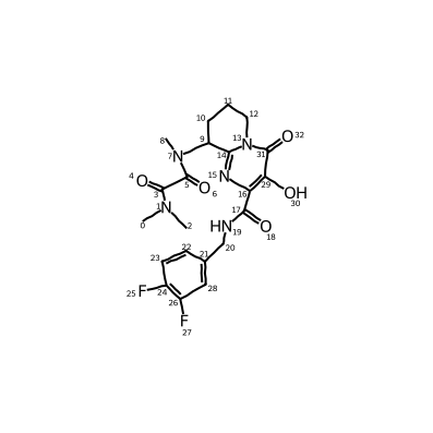 CN(C)C(=O)C(=O)N(C)C1CCCn2c1nc(C(=O)NCc1ccc(F)c(F)c1)c(O)c2=O